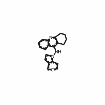 c1ccc2c(c1)ccn2Nc1c2c(nc3ccccc13)CCCC2